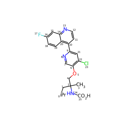 CC(C)CC(C)(COc1cnc(-c2ccnc3cc(F)ccc23)cc1Cl)NC(=O)O